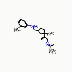 C=C(C/N=C(\C)CCC)C1(CCC)CCC(CNc2cccc(C#N)c2)C1